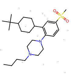 CCCCN1CCN(c2ccc(S(C)(=O)=O)cc2C2CCC(C(C)(C)C)CC2)CC1